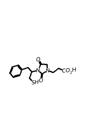 O=C(O)CCN1CC(=O)N(C(CS)Cc2ccccc2)C1=O